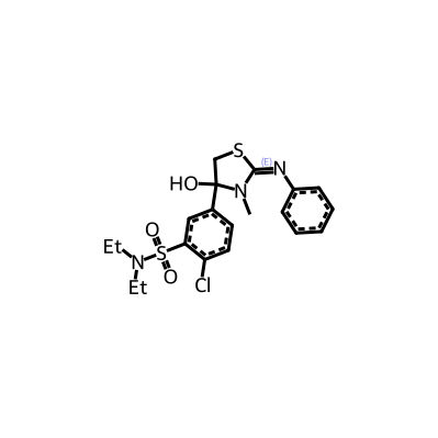 CCN(CC)S(=O)(=O)c1cc(C2(O)CS/C(=N/c3ccccc3)N2C)ccc1Cl